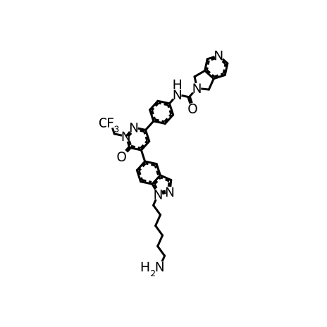 NCCCCCCn1ncc2cc(-c3cc(-c4ccc(NC(=O)N5Cc6ccncc6C5)cc4)nn(CC(F)(F)F)c3=O)ccc21